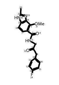 COc1c(C(=O)NCC(=O)Cc2ccc(F)cc2)ccc2[nH]c(C)nc12